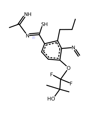 C=Nc1c(OC(F)(F)C(C)(C)O)ccc(/C(S)=N/C(C)=N)c1CCC